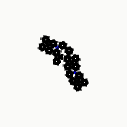 CC1(C)c2ccccc2-c2ccc(N(c3cccc(-c4cccc(-c5cccc(C6(c7ccccc7)c7ccccc7-c7ccc(N(c8ccccc8)c8ccc9c(c8)C(c8ccccc8)(c8ccccc8)c8ccccc8-9)cc76)c5)c4)c3)c3ccc4c(c3)C(c3ccccc3)(c3ccccc3)c3ccccc3-4)cc21